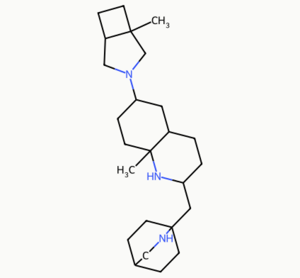 CC12CCC1CN(C1CCC3(C)NC(CC45CCC(CC4)CN5)CCC3C1)C2